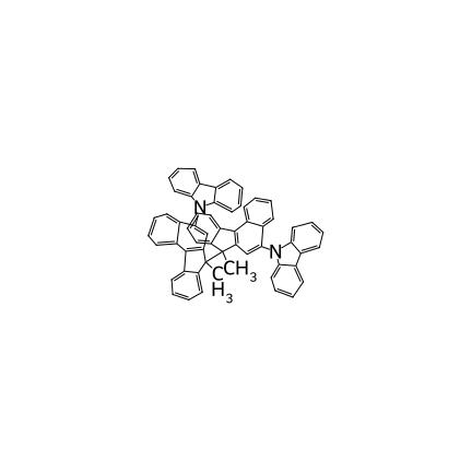 CC1(C2(C)c3ccccc3-c3c2cc(-n2c4ccccc4c4ccccc42)c2ccccc32)c2ccccc2-c2c1cc(-n1c3ccccc3c3ccccc31)c1ccccc21